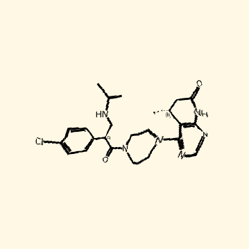 CC(C)NC[C@@H](C(=O)N1CCN(c2ncnc3c2[C@H](C)CC(=O)N3)CC1)c1ccc(Cl)cc1